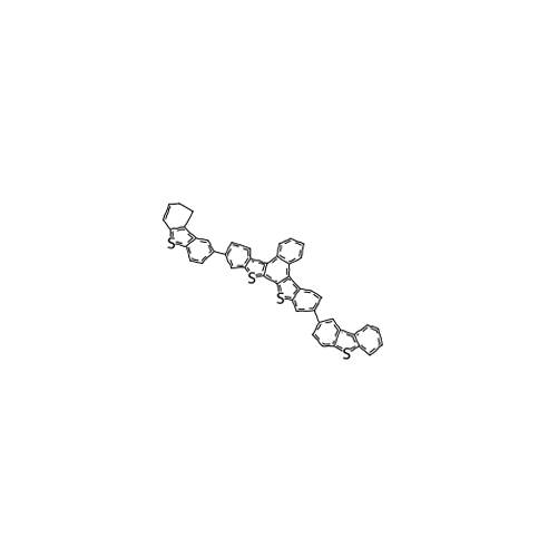 C1=Cc2sc3ccc(-c4ccc5c(c4)sc4c6sc7cc(-c8ccc9sc%10ccccc%10c9c8)ccc7c6c6ccccc6c54)cc3c2CC1